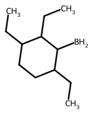 BC1C(CC)CCC(CC)C1CC